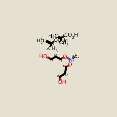 C=C(C)C(=O)O.C=C(C)C(=O)O.CCN(OCCCO)OCCCO